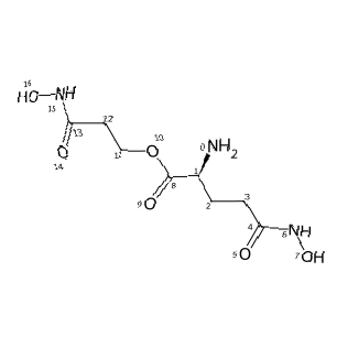 N[C@@H](CCC(=O)NO)C(=O)OCCC(=O)NO